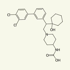 O=C(O)NC1CCN(CC(c2cccc(-c3ccc(Cl)c(Cl)c3)c2)C2(O)CCCCC2)CC1